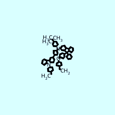 C=Cc1ccc(Oc2ccc(C3(c4ccccc4)c4ccccc4-c4ccc(N(c5ccc(-c6ccc7c(c6)c6ccccc6n7-c6ccc(C=C)cc6)cc5)c5ccc(C(C)(C)C)cc5)cc43)cc2)cc1